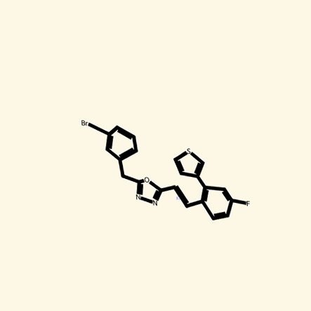 Fc1ccc(/C=C/c2nnc(Cc3cccc(Br)c3)o2)c(-c2ccsc2)c1